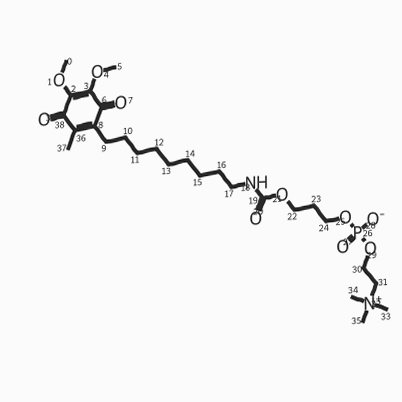 COC1=C(OC)C(=O)C(CCCCCCCCCNC(=O)OCCCOP(=O)([O-])OCC[N+](C)(C)C)=C(C)C1=O